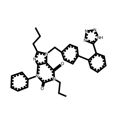 CCCc1nc2c(c(=O)n(CCC)c(=O)n2-c2ccccc2)n1Cc1ccc(-c2ccccc2-c2nnn[nH]2)cc1